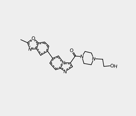 Cc1nc2cc(-c3ccc4ncc(C(=O)N5CCN(CCO)CC5)n4c3)ccc2o1